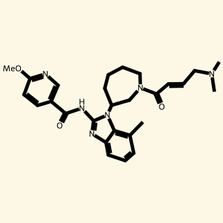 COc1ccc(C(=O)Nc2nc3cccc(C)c3n2C2CCCCN(C(=O)/C=C/CN(C)C)C2)cn1